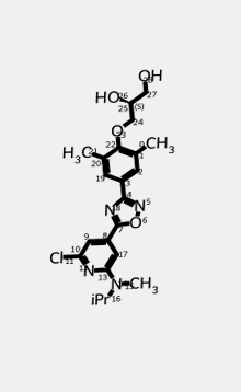 Cc1cc(-c2noc(-c3cc(Cl)nc(N(C)C(C)C)c3)n2)cc(C)c1OC[C@@H](O)CO